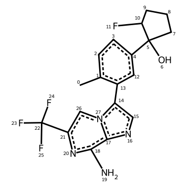 Cc1ccc(C2(O)CCCC2F)cc1-c1cnc2c(N)nc(C(F)(F)F)cn12